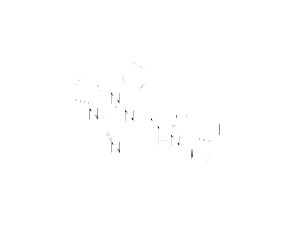 N#Cc1nc2ccccc2nc1N1CCN(C(=O)Nc2cccc(F)c2)CC1c1ccccc1